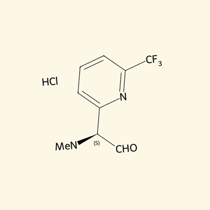 CN[C@H](C=O)c1cccc(C(F)(F)F)n1.Cl